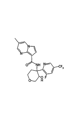 Cc1cnc2c(C(=O)NC3(c4ncc(C(F)(F)F)cc4F)CCOCC3O)ccn2c1